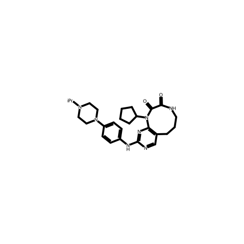 CC(C)N1CCN(c2ccc(Nc3ncc4c(n3)N(C3CCCC3)C(=O)C(=O)NCCC4)cc2)CC1